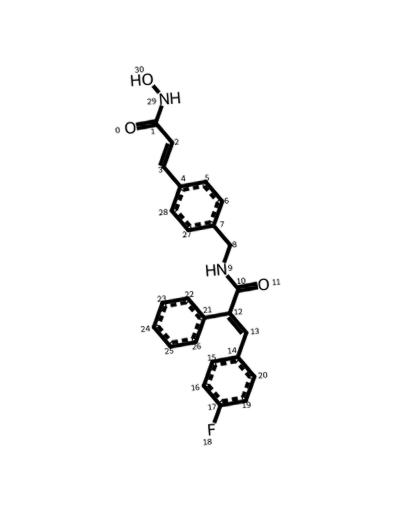 O=C(C=Cc1ccc(CNC(=O)C(=Cc2ccc(F)cc2)c2ccccc2)cc1)NO